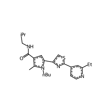 CCCCn1c(-c2csc(-c3ccnc(CC)c3)n2)cc(C(=O)NCC(C)C)c1C